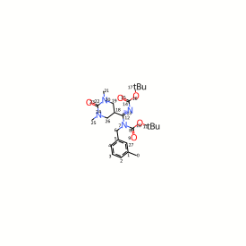 Cc1cccc(CN(C(=O)OC(C)(C)C)/C(=N/C(=O)OC(C)(C)C)C2CN(C)C(=O)N(C)C2)c1